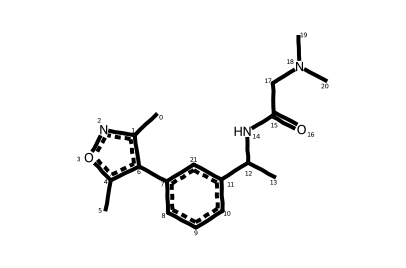 Cc1noc(C)c1-c1cccc(C(C)NC(=O)CN(C)C)c1